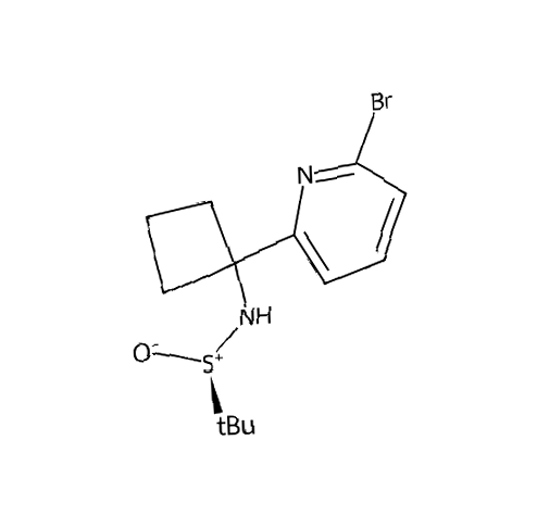 CC(C)(C)[S@@+]([O-])NC1(c2cccc(Br)n2)CCC1